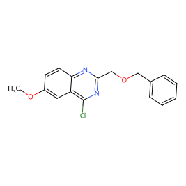 COc1ccc2nc(COCc3ccccc3)nc(Cl)c2c1